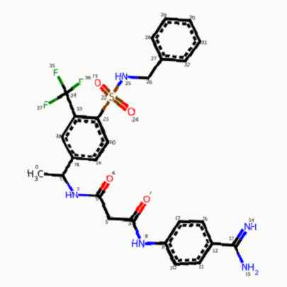 CC(NC(=O)CC(=O)Nc1ccc(C(=N)N)cc1)c1ccc(S(=O)(=O)NCc2ccccc2)c(C(F)(F)F)c1